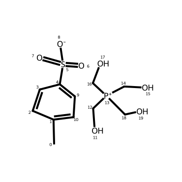 Cc1ccc(S(=O)(=O)[O-])cc1.OC[P+](CO)(CO)CO